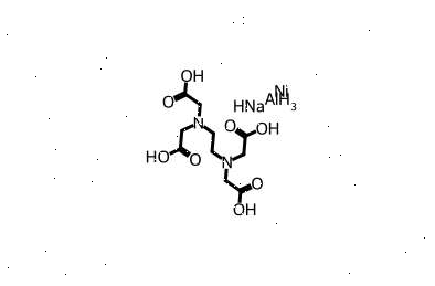 O=C(O)CN(CCN(CC(=O)O)CC(=O)O)CC(=O)O.[AlH3].[NaH].[Ni]